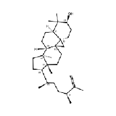 C=C(C)[C@@H](C)CC[C@@H](C)[C@H]1CC[C@@]2(C)[C@@H]3CC[C@H]4C(C)(C)[C@@H](O)CC[C@@]45C[C@@]35CC[C@]12C